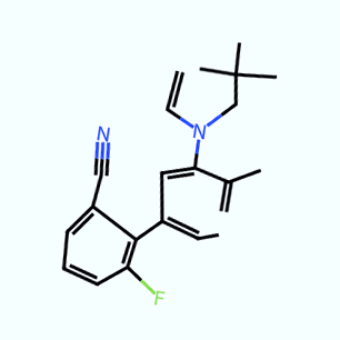 C=CN(CC(C)(C)C)/C(=C/C(=C\C)c1c(F)cccc1C#N)C(=C)C